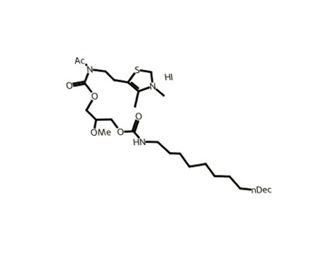 CCCCCCCCCCCCCCCCCCNC(=O)OCC(COC(=O)N(CCC1=C(C)N(C)CS1)C(C)=O)OC.I